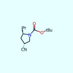 CC(C)[C@@H]1C[C@@H](C#N)CN1C(=O)OC(C)(C)C